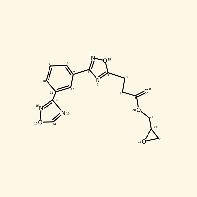 O=C(CCc1nc(-c2cccc(-c3ncon3)c2)no1)OCC1CO1